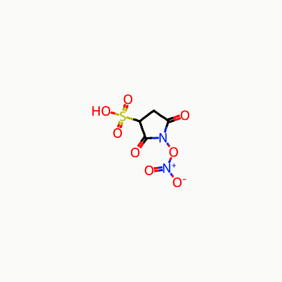 O=C1CC(S(=O)(=O)O)C(=O)N1O[N+](=O)[O-]